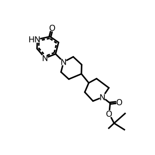 CC(C)(C)OC(=O)N1CCC(C2CCN(c3cc(=O)[nH]cn3)CC2)CC1